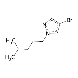 CC(C)CCCn1cc(Br)[c]n1